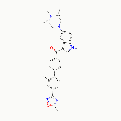 Cc1nc(-c2ccc(-c3ccc(C(=O)c4cn(C)c5ccc(N6C[C@@H](C)N(C)[C@@H](C)C6)cc45)cc3)c(C)c2)no1